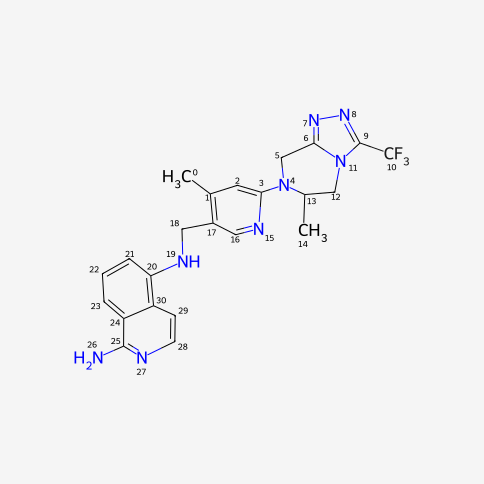 Cc1cc(N2Cc3nnc(C(F)(F)F)n3CC2C)ncc1CNc1cccc2c(N)nccc12